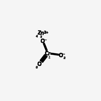 [O]=[Cr]([O-])[O-].[Zn+2]